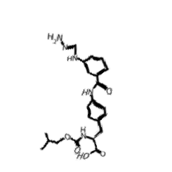 CC(C)COC(=O)N[C@@H](Cc1ccc(NC(=O)c2cccc(NC=NN)c2)cc1)C(=O)O